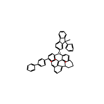 CC1(c2ccccc2)c2ccccc2-c2ccc(N(c3ccc(-c4ccc(-c5ccccc5)cc4)cc3)c3ccccc3-c3cccc4cccc(C5CCCCC5)c34)cc21